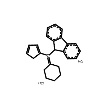 C1=CC[C]([Zr](=[C]2CCCCC2)[CH]2c3ccccc3-c3ccccc32)=C1.Cl.Cl